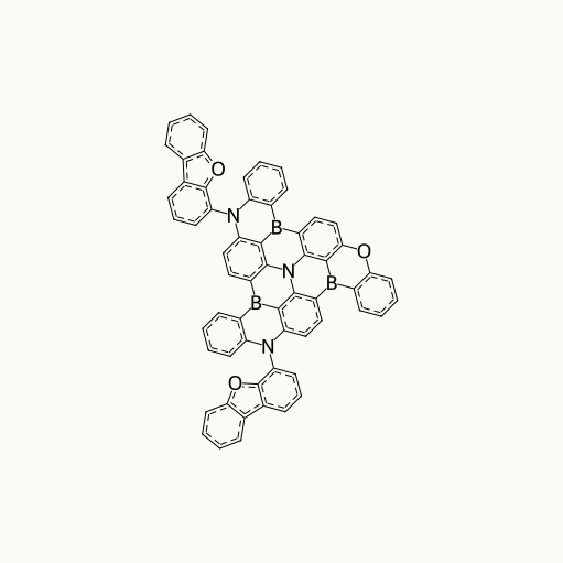 c1ccc2c(c1)Oc1ccc3c4c1B2c1ccc2c5c1N4c1c(ccc4c1B3c1ccccc1N4c1cccc3c1oc1ccccc13)B5c1ccccc1N2c1cccc2c1oc1ccccc12